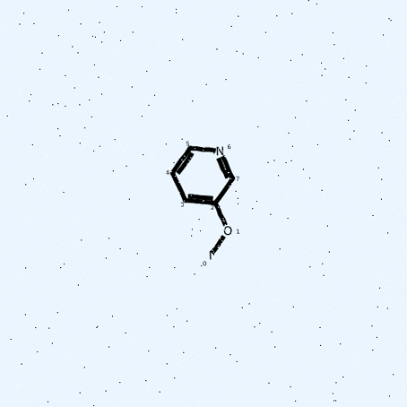 IOc1cccnc1